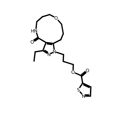 CCc1nn(CCCOC(=O)c2ccns2)c2c1C(=O)NCCCOCCC2